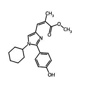 COC(=O)C(C)=Cc1cn(C2CCCCC2)c(-c2ccc(O)cc2)n1